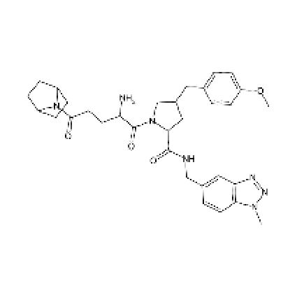 COc1ccc(CC2CC(C(=O)NCc3ccc4c(c3)nnn4C)N(C(=O)C(N)CCC(=O)N3C4CCC3CC4)C2)cc1